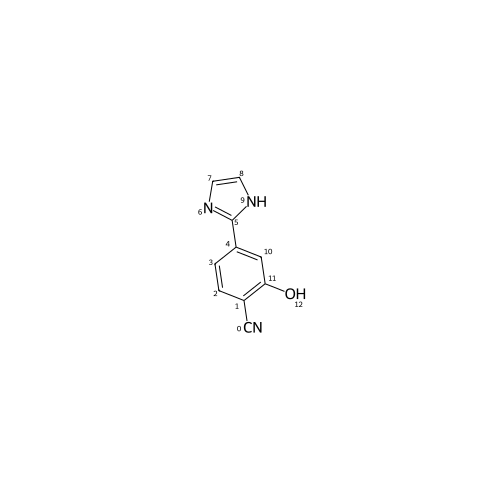 N#Cc1ccc(-c2ncc[nH]2)cc1O